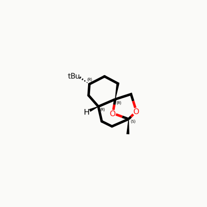 CC(C)(C)[C@@H]1CC[C@]23CO[C@](C)(CC[C@@H]2C1)O3